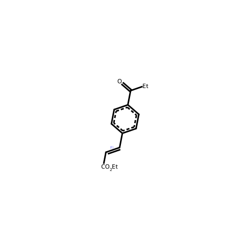 CCOC(=O)/C=C/c1ccc(C(=O)CC)cc1